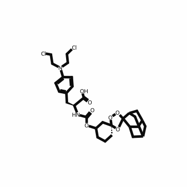 O=C(N[C@@H](Cc1ccc(N(CCCl)CCCl)cc1)C(=O)O)OC1CCC[C@]2(C1)OOC1(O2)C2CC3CC(C2)CC1C3